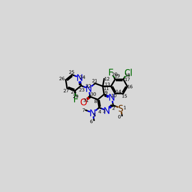 CSc1nc(N(C)C)c2c(n1)C(C)(c1cccc(Cl)c1F)CN(c1ncccc1F)C2=O